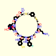 C[C@H]1NC(=O)[C@H](Cc2c[nH]c3ccc(S)cc23)NC(=O)[C@H](Cc2c[nH]c3ccc(F)cc23)NC(=O)CNC(=O)[C@H](CCCCN)NC(=O)CCSCc2cccc(c2)CSC[C@@H](C(N)=O)CC(=O)[C@]2(C)CCCN2C(=O)[C@H](Cc2ccc(O)cc2)NC(=O)[C@H](Cc2cnc[nH]2)NC1=O